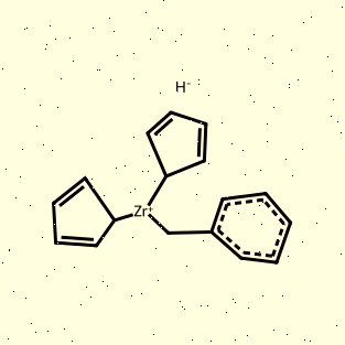 C1=C[CH]([Zr+]([CH2]c2ccccc2)[CH]2C=CC=C2)C=C1.[H-]